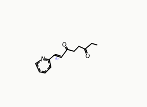 CCC(=O)CCC(=O)/C=C/c1ccccn1